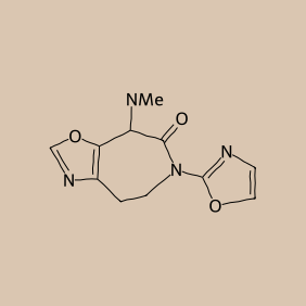 CNC1C(=O)N(c2ncco2)CCc2ncoc21